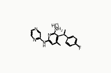 Cc1cc(Nc2cnccn2)nc(N)c1C(C)c1ccc(F)cc1.Cl